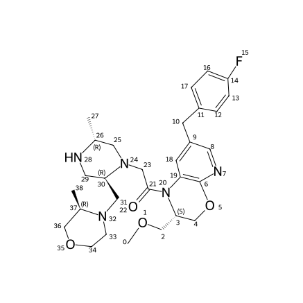 COC[C@H]1COc2ncc(Cc3ccc(F)cc3)cc2N1C(=O)CN1C[C@@H](C)NC[C@@H]1CN1CCOC[C@H]1C